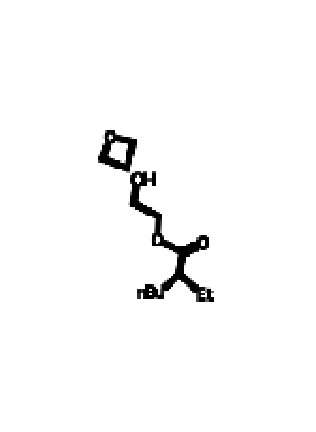 C1COC1.CCCCC(CC)C(=O)OCCO